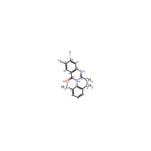 Cc1cccc(C)c1-n1c(C)nc2cc(F)c(I)cc2c1=O